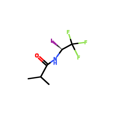 CC(C)C(=O)N[C@H](I)C(F)(F)F